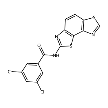 O=C(Nc1nc2ccc3scnc3c2s1)c1cc(Cl)cc(Cl)c1